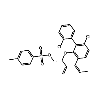 C=C[C@H](COS(=O)(=O)c1ccc(C)cc1)Oc1c(/C=C\C)ccc(Cl)c1-c1ccccc1Cl